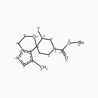 Cc1cnn2c1C1(CCN(C(=O)OC(C)(C)C)CC1I)OCC2